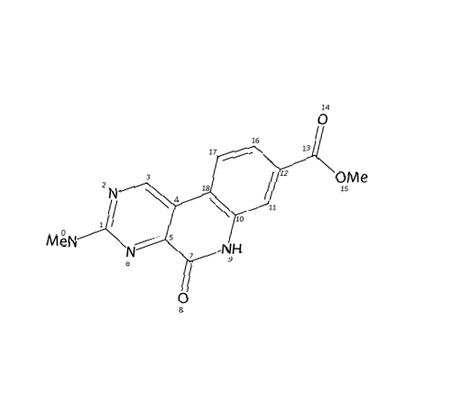 CNc1ncc2c(n1)c(=O)[nH]c1cc(C(=O)OC)ccc12